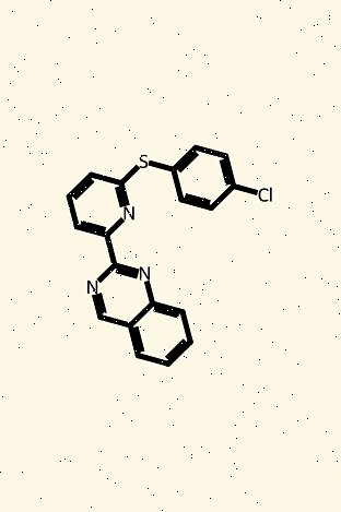 Clc1ccc(Sc2cccc(-c3ncc4ccccc4n3)n2)cc1